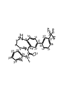 CN(C(=O)N1CCCNc2ccc(-c3cccc(C(F)(F)F)c3)cc21)c1ccccn1